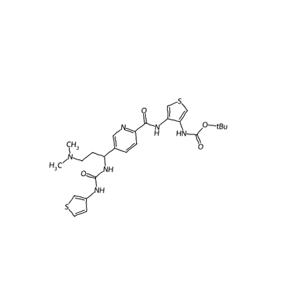 CN(C)CCC(NC(=O)Nc1ccsc1)c1ccc(C(=O)Nc2cscc2NC(=O)OC(C)(C)C)nc1